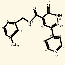 O=C(NCc1cccc(C(F)(F)F)c1)c1cc(-c2ccncc2)n[nH]c1=O